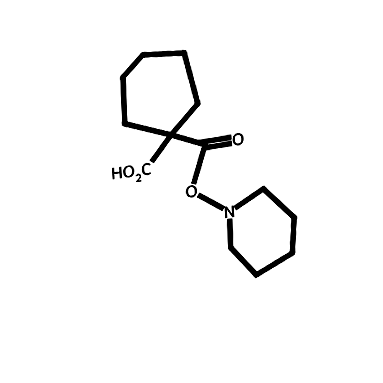 O=C(O)C1(C(=O)ON2CCCCC2)CCCCC1